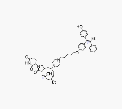 CC/C(=C(\c1ccc(O)cc1)c1ccc(OCCCCCN2CCN(C3CCC(CC)C/C(C)=C/C4C(=O)N(C5CCC(=O)NC5=O)CC4C3)CC2)cc1)c1ccccc1